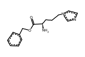 N[C@H](CCCn1ccnc1)C(=O)OCc1ccccc1